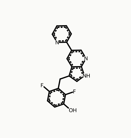 Oc1ccc(F)c(Cc2c[nH]c3ncc(-c4ccccn4)cc23)c1F